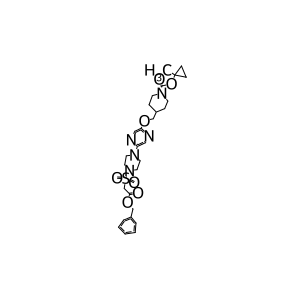 CC1(OC(=O)N2CCC(COc3cnc(N4CCN(S(=O)(=O)CC(=O)OCc5ccccc5)CC4)cn3)CC2)CC1